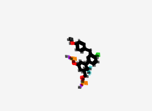 CCOc1ccc(Cc2cc(C3CC(OPI)CC(COPI)C3(F)F)ccc2Cl)cc1